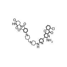 Nc1nc2c(=O)c3c(Cl)cccc3oc2cc1-c1ccc(NC2CCN(CC3CCN(c4ccc5c(c4)C(=O)N(C4CCC(=O)NC4=O)C5=O)CC3)CC2)nc1